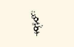 COCc1cc(C(F)(F)F)ccc1C(=O)Nc1ccc2sc(CO)nc2c1